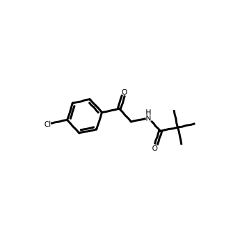 CC(C)(C)C(=O)NCC(=O)c1ccc(Cl)cc1